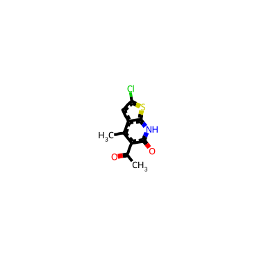 CC(=O)c1c(C)c2cc(Cl)sc2[nH]c1=O